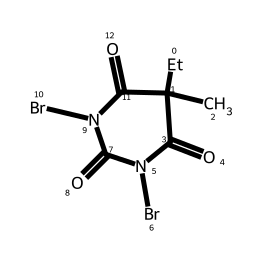 CCC1(C)C(=O)N(Br)C(=O)N(Br)C1=O